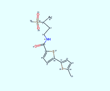 CC(=O)C(CCNC(=O)c1ccc(-c2ccc(C)s2)s1)S(C)(=O)=O